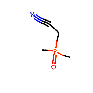 CP(C)(=O)CC#N